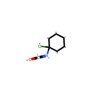 O=C=NC1(Cl)CCCCC1